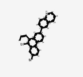 C/C=C\c1c(CC)c2cc(Br)ccc2c2ccc(-c3ccc4ncccc4c3)cc12